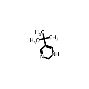 CC(C)(C)C1=CNCN=C1